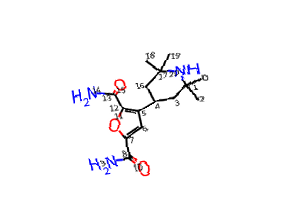 CC1(C)CC(c2cc(C(N)=O)oc2C(N)=O)CC(C)(C)N1